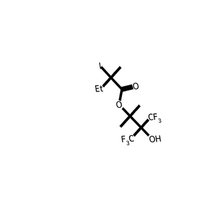 CCC(C)(I)C(=O)OC(C)(C)C(O)(C(F)(F)F)C(F)(F)F